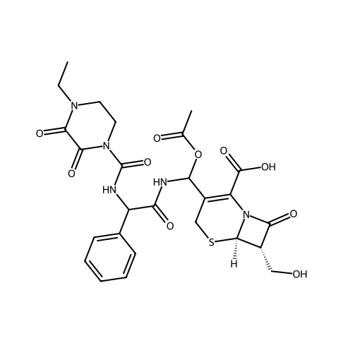 CCN1CCN(C(=O)NC(C(=O)NC(OC(C)=O)C2=C(C(=O)O)N3C(=O)[C@H](CO)[C@H]3SC2)c2ccccc2)C(=O)C1=O